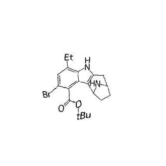 CCc1cc(Br)c(C(=O)OC(C)(C)C)c2c3c([nH]c12)CC1CCC3N1